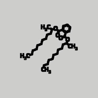 CCCCCCCCCCC(C)OC(=O)c1ccccc1C(=O)OC(C)CCCCCCCCCC